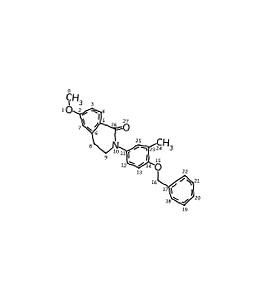 COc1ccc2c(c1)CCN(c1ccc(OCc3ccccc3)c(C)c1)C2=O